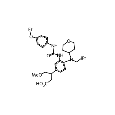 CCOc1ccc(NC(=O)Nc2cc(C(COC)CC(=O)O)ccc2N(CC(C)C)C2CCOCC2)cc1